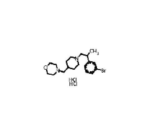 CC(CN1CCC(CN2CCOCC2)CC1)c1cccc(Br)c1.Cl.Cl